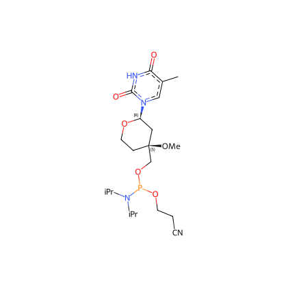 CO[C@@]1(COP(OCCC#N)N(C(C)C)C(C)C)CCO[C@@H](n2cc(C)c(=O)[nH]c2=O)C1